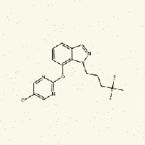 CC(F)(F)CCCn1ncc2cccc(Oc3ncc(Cl)cn3)c21